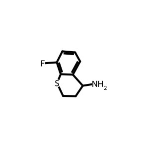 NC1CCSc2c(F)cccc21